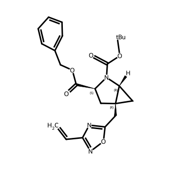 C=Cc1noc(C[C@@]23C[C@@H](C(=O)OCc4ccccc4)N(C(=O)OC(C)(C)C)[C@@H]2C3)n1